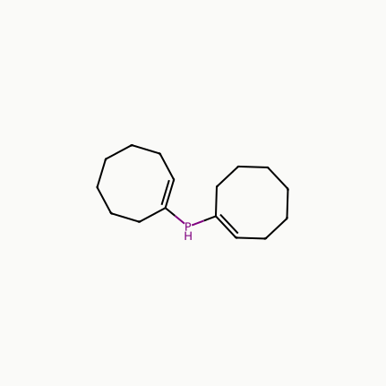 C1=C(PC2=CCCCCCC2)CCCCCC1